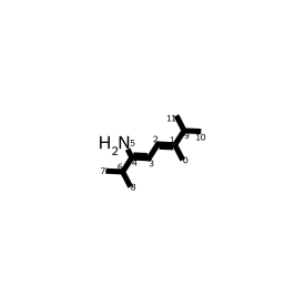 C/C(=C\C=C(/N)C(C)C)C(C)C